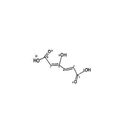 O=C(O)C=CC(O)=CC(=O)O